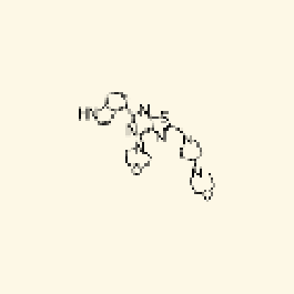 c1cc(-c2nc(N3CCOCC3)c3nc(CN4CCC(N5CCOCC5)CC4)sc3n2)c2cc[nH]c2c1